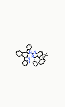 C[Si]1(C)c2ccccc2-c2c1ccc1nc(-n3c4ccccc4c4c5ccccc5c5c6ccccc6[nH]c5c43)nc(-c3ccccc3)c21